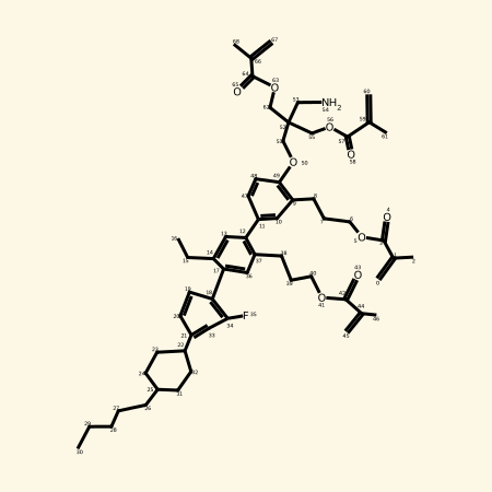 C=C(C)C(=O)OCCCc1cc(-c2cc(CC)c(-c3ccc(C4CCC(CCCCC)CC4)cc3F)cc2CCCOC(=O)C(=C)C)ccc1OCC(CN)(COC(=O)C(=C)C)COC(=O)C(=C)C